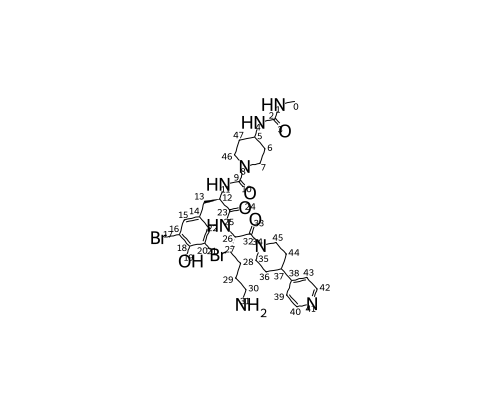 CNC(=O)NC1CCN(C(=O)N[C@H](Cc2cc(Br)c(O)c(Br)c2)C(=O)N[C@@H](CCCCN)C(=O)N2CCC(c3ccncc3)CC2)CC1